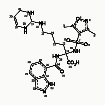 Cc1noc(C)c1S(=O)(=O)NC(CCCCNC1NC=CCN1)(NC(=O)c1cccc2cn[nH]c12)C(=O)O